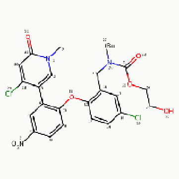 Cn1cc(-c2cc([N+](=O)[O-])ccc2Oc2ccc(Cl)cc2CN(C(=O)OCCO)C(C)(C)C)c(Cl)cc1=O